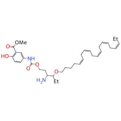 CC/C=C\C/C=C\C/C=C\C/C=C\C/C=C\CCCCOC(CC)C(N)CCOC(=O)Nc1ccc(O)c(C(=O)OC)c1